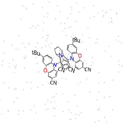 CC(C)(C)c1ccc2c(c1)Oc1cc(C#N)ccc1N2c1c(C#N)c(C#N)c(N2c3ccc(C#N)cc3Oc3cc(C(C)(C)C)ccc32)c2c1C1CCC2N1c1ccccc1